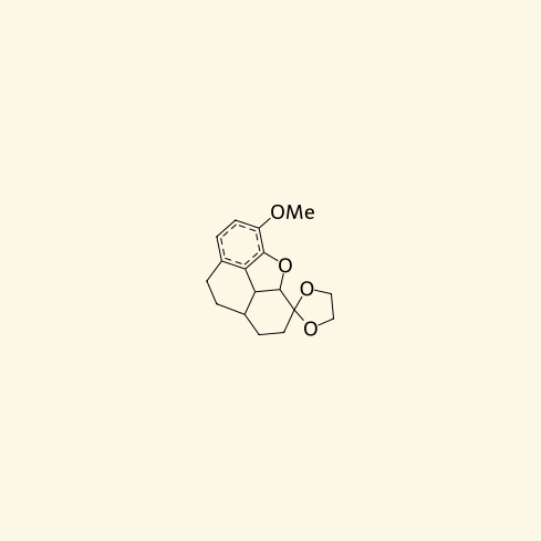 COc1ccc2c3c1OC1C3C(CC2)CCC12OCCO2